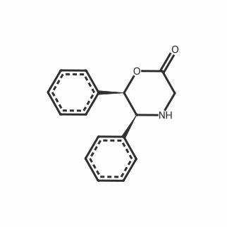 O=C1CN[C@@H](c2ccccc2)[C@@H](c2ccccc2)O1